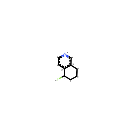 FC1CCCc2cnccc21